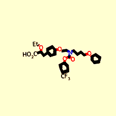 CCOC(Cc1ccc(OCCN(CCCCOc2ccccc2)C(=O)Oc2ccc(C(F)(F)F)cc2)cc1)C(=O)O